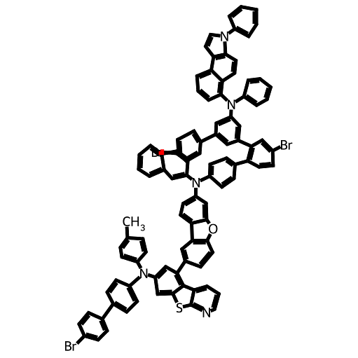 Cc1ccc(N(c2ccc(-c3ccc(Br)cc3)cc2)c2cc(-c3ccc4oc5cc(N(c6ccc(-c7ccc(Br)cc7-c7cc(-c8ccc(Br)cc8)cc(N(c8ccccc8)c8cccc9c8ccc8c9ccn8-c8ccccc8)c7)cc6)c6ccc7ccccc7c6)ccc5c4c3)c3c(c2)sc2ncccc23)cc1